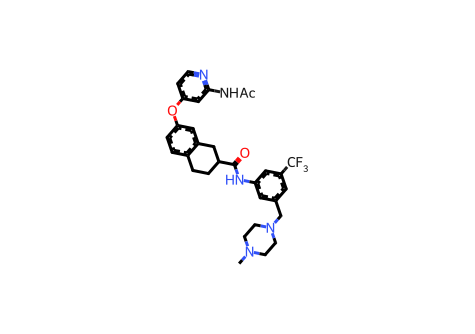 CC(=O)Nc1cc(Oc2ccc3c(c2)CC(C(=O)Nc2cc(CN4CCN(C)CC4)cc(C(F)(F)F)c2)CC3)ccn1